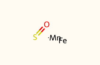 O=S.[Fe].[Mn]